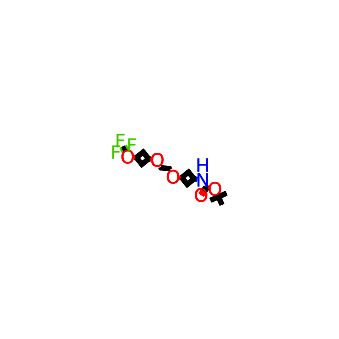 CC(C)(C)OC(=O)NC1CC(OCCOC2CC(OC(F)(F)F)C2)C1